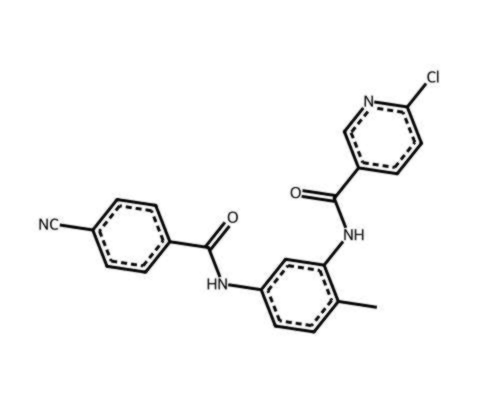 Cc1ccc(NC(=O)c2ccc(C#N)cc2)cc1NC(=O)c1ccc(Cl)nc1